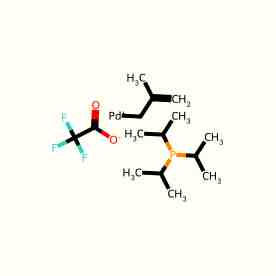 C=C(C)[CH2][Pd+].CC(C)P(C(C)C)C(C)C.O=C([O-])C(F)(F)F